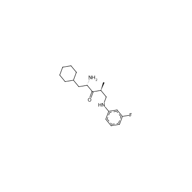 C[C@@H](CNc1cccc(F)c1)C(=O)[C@@H](N)CC1CCCCC1